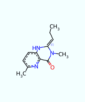 CC/C=C1\Nc2ccc(C)nc2C(=O)N1C